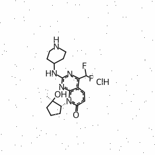 C[C@@]1(O)CCC[C@H]1n1c(=O)ccc2c(C(F)F)nc(NC3CCNCC3)nc21.Cl